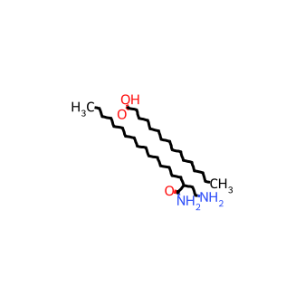 CCCCCCCCCCCCCCCC(=O)O.CCCCCCCCCCCCCCCCC(CCN)C(N)=O